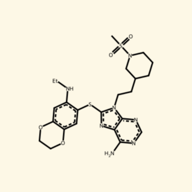 CCNc1cc2c(cc1Sc1nc3c(N)ncnc3n1CCC1CCCN(S(C)(=O)=O)C1)OCCO2